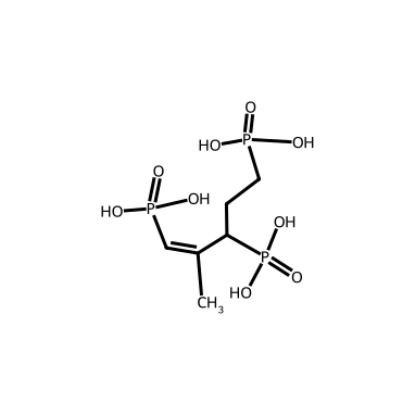 CC(=CP(=O)(O)O)C(CCP(=O)(O)O)P(=O)(O)O